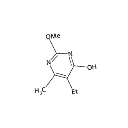 CCc1c(C)nc(OC)nc1O